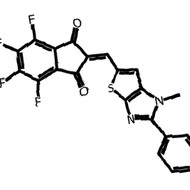 Cn1c(-c2ccccc2)nc2sc(C=C3C(=O)c4c(F)c(F)c(F)c(F)c4C3=O)cc21